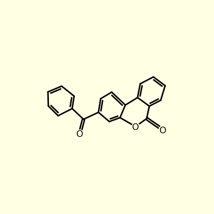 O=C(c1ccccc1)c1ccc2c(c1)oc(=O)c1ccccc12